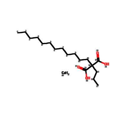 CCCCCCCCCCCCC(CCC)(C(=O)O)C(=O)O.[CaH2]